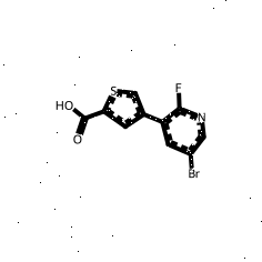 O=C(O)c1cc(-c2cc(Br)cnc2F)cs1